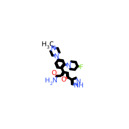 CN1CCN(c2ccc(-c3cc(-c4cn[nH]c4)oc3C(N)=O)c(N3CCC(F)CC3)c2)CC1